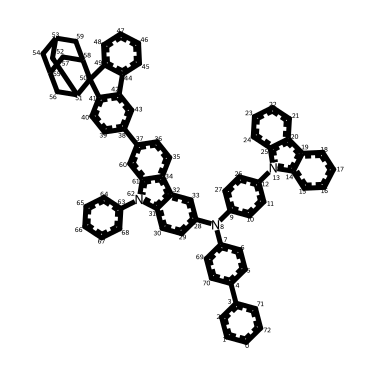 c1ccc(-c2ccc(N(c3ccc(-n4c5ccccc5c5ccccc54)cc3)c3ccc4c(c3)c3ccc(-c5ccc6c(c5)-c5ccccc5C65C6CC7CC(C6)CC5C7)cc3n4-c3ccccc3)cc2)cc1